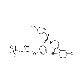 CS(=O)(=O)NCC(O)CCOc1ccc([C@H]2c3[nH]c4ccc(Cl)cc4c3CCN2C(=O)Oc2ccc(Cl)cc2)cc1